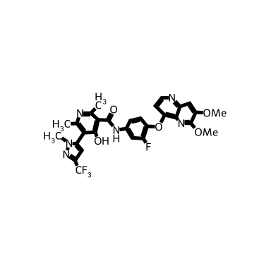 COc1cc2nccc(Oc3ccc(NC(=O)c4c(C)nc(C)c(-c5cc(C(F)(F)F)nn5C)c4O)cc3F)c2nc1OC